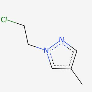 Cc1cnn(CCCl)c1